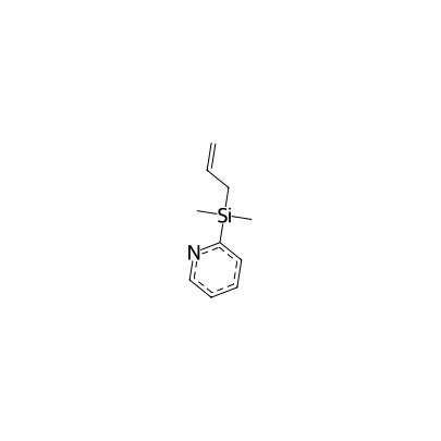 C=CC[Si](C)(C)c1ccccn1